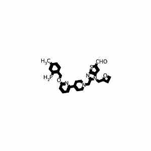 Cc1ccc(COc2cccc(C3=CCN(Cc4nc5sc(C=O)cc5n4CC4CCO4)CC3)n2)c(P)c1